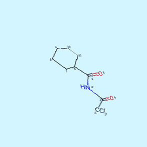 O=C(NC(=O)C(Cl)(Cl)Cl)C1CCCCC1